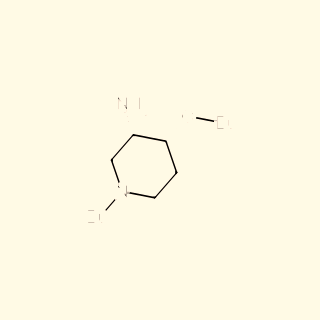 CCO[C@@H]1CCN(CC)C[C@@H]1N